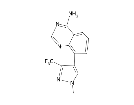 Cn1cc(-c2cccc3c(N)ncnc23)c(C(F)(F)F)n1